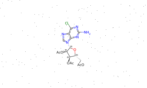 CC(=O)OC[C@H]1O[C@@H](n2cnc3c(Cl)nc(N)nc32)[C@H](OC(C)=O)[C@@H]1OC(C)=O